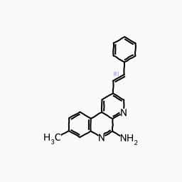 Cc1ccc2c(c1)nc(N)c1ncc(/C=C/c3ccccc3)cc12